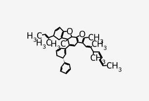 C/C=C\C=C/C(C)/C(C)=C/c1c(C)oc2c1C=C(C1=C[C@H](c3ccccc3)CC=C1)C1(C)C3=C(C=CC(/C(C)=C/C)C3)OC21